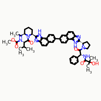 CC[C@H]1CCC[C@@H](c2nc3ccc4cc(-c5ccc6c(ccc7nc([C@@H]8CCCN8C(=O)[C@H](NC(=O)C(C)(C)O)c8ccccc8)[nH]c76)c5)ccc4c3[nH]2)N1C(=O)[C@@H](NC(=O)OC)C(C)C